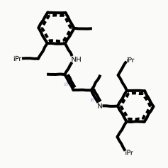 C/C(=C/C(C)=N/c1c(CC(C)C)cccc1CC(C)C)Nc1c(C)cccc1CC(C)C